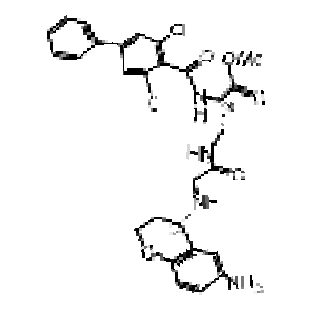 COC(=O)[C@H](CNC(=O)CN[C@H]1CCOc2ccc(N)cc21)NC(=O)c1c(Cl)cc(-c2ccccc2)cc1Cl